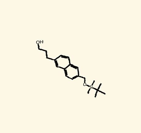 CC(C)(C)[Si](C)(C)OCc1ccc2cc(CCCO)ccc2c1